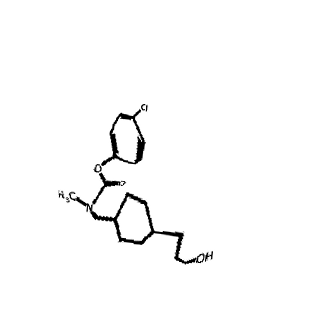 CN(CC1CCC(CCO)CC1)C(=O)Oc1ccc(Cl)cc1